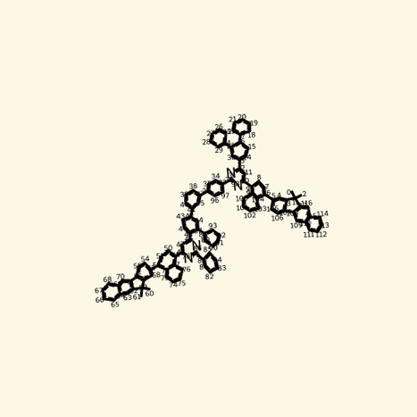 CC1(C)c2cc(-c3ccc(-c4cc(-c5ccc(-c6ccccc6)c(-c6ccccc6)c5)nc(-c5ccc(-c6cccc(-c7ccc(-c8cc(-c9ccc(-c%10ccc%11c(c%10)C(C)(C)c%10cc%12ccccc%12cc%10-%11)c%10ccccc9%10)nc(-c9ccccc9)n8)c(-c8ccccc8)c7)c6)cc5)n4)c4ccccc34)ccc2-c2cc3ccccc3cc21